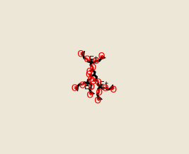 CCC(COCC1CO1)(COCC1CO1)COC(=O)CC(CC(=O)OCC(CC)(COCC1CO1)COCC1CO1)C(=O)OCC(CC)(COCC1CO1)COCC1CO1